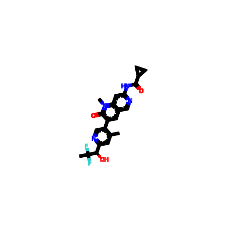 Cc1cc([C@@H](O)C(C)(F)F)ncc1-c1cc2cnc(NC(=O)C3CC3)cc2n(C)c1=O